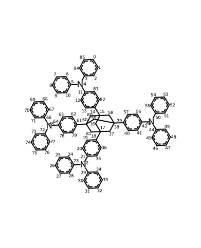 c1ccc(N(c2ccccc2)c2ccc(C34CC5(c6ccc(N(c7ccccc7)c7ccccc7)cc6)CC(c6ccc(N(c7ccccc7)c7ccccc7)cc6)(C3)CC(c3ccc(N(c6ccccc6)c6ccccc6)cc3)(C4)C5)cc2)cc1